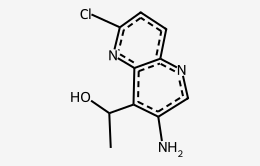 CC(O)c1c(N)cnc2ccc(Cl)nc12